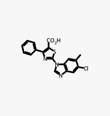 Cc1cc2c(cc1Cl)ncn2-c1nc(-c2ccccc2)c(C(=O)O)s1